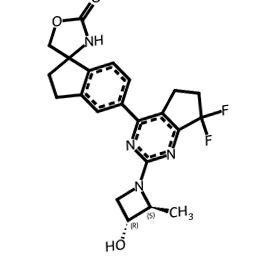 C[C@H]1[C@H](O)CN1c1nc(-c2ccc3c(c2)CCC32COC(=O)N2)c2c(n1)C(F)(F)CC2